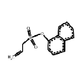 C=CCS(=O)(=O)Oc1cccc2ccccc12